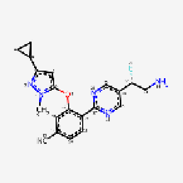 Cn1nc(C2CC2)cc1Oc1cc(C#N)ccc1-c1ncc([C@H](F)CN)cn1